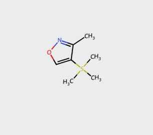 Cc1nocc1S(C)(C)C